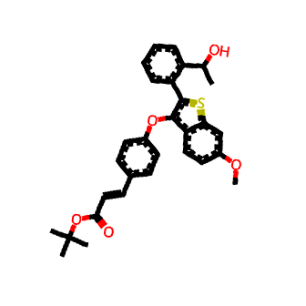 COc1ccc2c(Oc3ccc(C=CC(=O)OC(C)(C)C)cc3)c(-c3ccccc3C(C)O)sc2c1